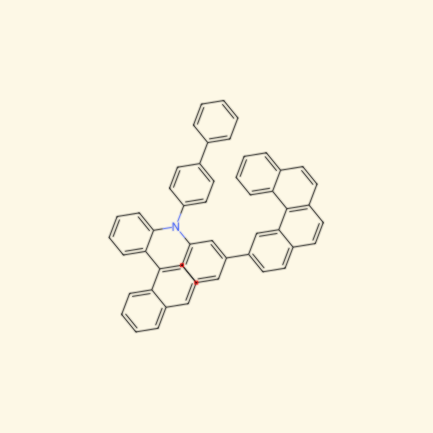 c1ccc(-c2ccc(N(c3cccc(-c4ccc5ccc6ccc7ccccc7c6c5c4)c3)c3ccccc3-c3cccc4ccccc34)cc2)cc1